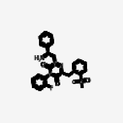 CS(=O)(=O)c1ccccc1Cc1nn(CC(N)c2ccccc2)c(=O)n(-c2ccccc2F)c1=O